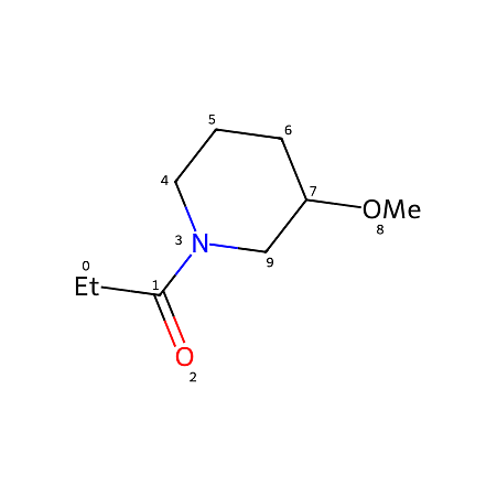 CCC(=O)N1CCCC(OC)C1